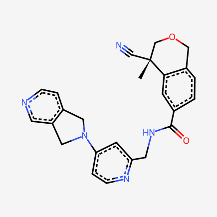 C[C@@]1(C#N)COCc2ccc(C(=O)NCc3cc(N4Cc5ccncc5C4)ccn3)cc21